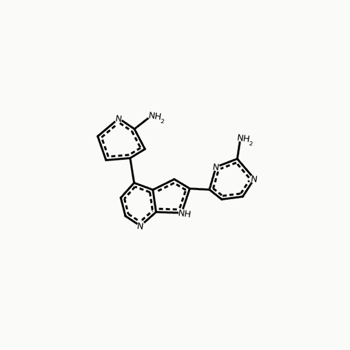 Nc1cc(-c2ccnc3[nH]c(-c4ccnc(N)n4)cc23)ccn1